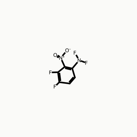 O=[N+]([O-])c1c(N(F)F)ccc(F)c1F